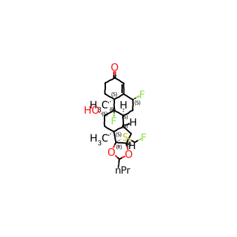 CCCC1O[C@@H]2C[C@H]3[C@@H]4C[C@H](F)C5=CC(=O)CC[C@]5(C)[C@@]4(F)[C@@H](O)C[C@]3(C)[C@]2(SCF)O1